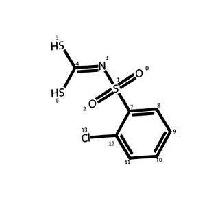 O=S(=O)(N=C(S)S)c1ccccc1Cl